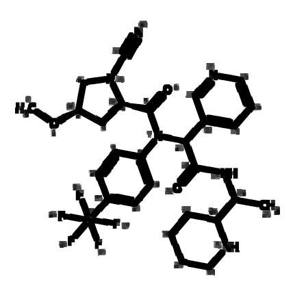 CO[C@@H]1C[C@H](C(=O)N(c2ccc(S(F)(F)(F)(F)F)cc2)C(C(=O)NC(C)C2CCCCN2)c2cccnc2)N(C#N)C1